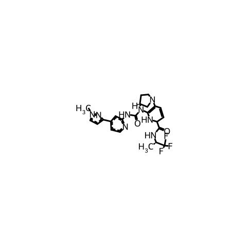 C[C@@H](NC(=O)C1C=CC2=C(N1)N(C(=O)Nc1cc(-c3ccn(C)n3)ccn1)[C@H]1CCN2C1)C(F)(F)F